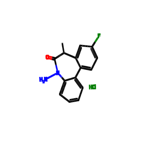 CC1C(=O)N(N)c2ccccc2-c2ccc(F)cc21.Cl